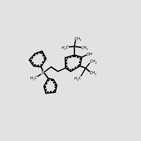 CC(C)(C)c1cc(CC[Si](C)(c2ccccc2)c2ccccc2)cc(C(C)(C)C)c1O